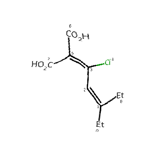 CCC(=CC(Cl)=C(C(=O)O)C(=O)O)CC